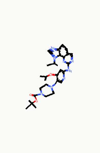 CC(C)Oc1cc(Nc2ncc3ccc4ncn(C(C)C)c4c3n2)ncc1N1CCN(C(=O)OC(C)(C)C)CC1